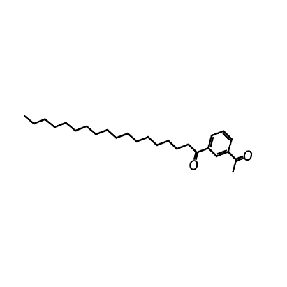 CCCCCCCCCCCCCCCCCC(=O)c1cccc(C(C)=O)c1